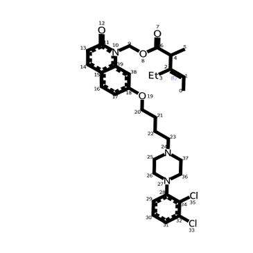 C/C=C(\CC)C(C)C(=O)OCn1c(=O)ccc2ccc(OCCCCN3CCN(c4cccc(Cl)c4Cl)CC3)cc21